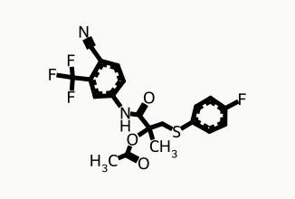 CC(=O)OC(C)(CSc1ccc(F)cc1)C(=O)Nc1ccc(C#N)c(C(F)(F)F)c1